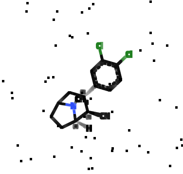 CN1C2CC[C@@H]1[C@H](C#N)[C@@H](c1ccc(Cl)c(Cl)c1)C2